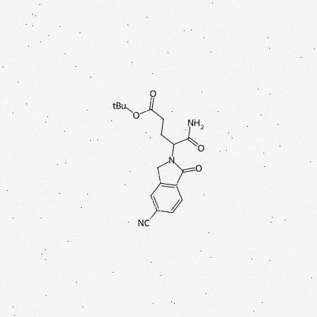 CC(C)(C)OC(=O)CCC(C(N)=O)N1Cc2cc(C#N)ccc2C1=O